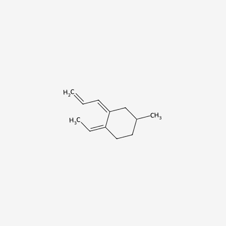 C=C/C=C1/CC(C)CC/C1=C/C